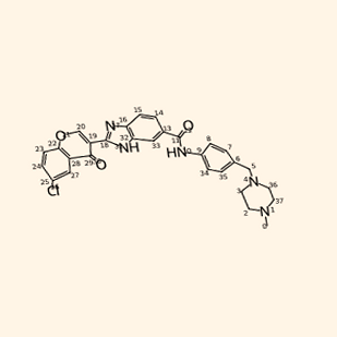 CN1CCN(Cc2ccc(NC(=O)c3ccc4nc(-c5coc6ccc(Cl)cc6c5=O)[nH]c4c3)cc2)CC1